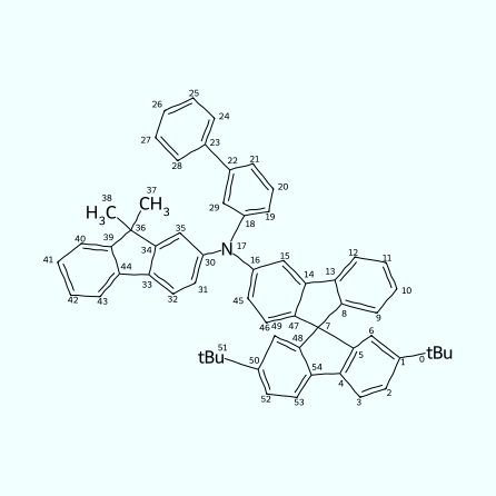 CC(C)(C)c1ccc2c(c1)C1(c3ccccc3-c3cc(N(c4cccc(-c5ccccc5)c4)c4ccc5c(c4)C(C)(C)c4ccccc4-5)ccc31)c1cc(C(C)(C)C)ccc1-2